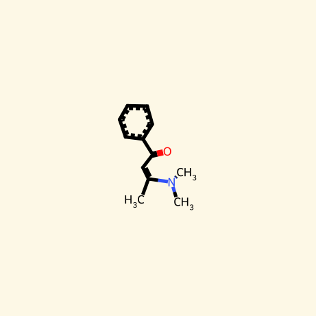 CC(=CC(=O)c1ccccc1)N(C)C